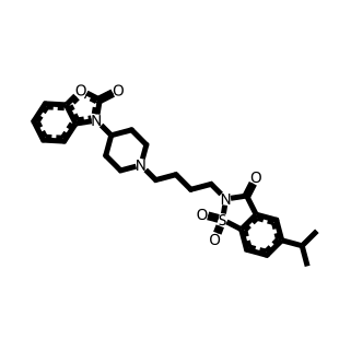 CC(C)c1ccc2c(c1)C(=O)N(CCCCN1CCC(n3c(=O)oc4ccccc43)CC1)S2(=O)=O